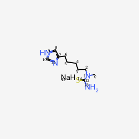 CN(CCCCCc1c[nH]cn1)C(N)=S.[NaH]